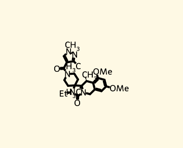 CCN1C(=O)N2Cc3cc(OC)cc(OC)c3[C@@H](C)C2(C)C12CCN(C(=O)c1cn(C)nc1C)CC2